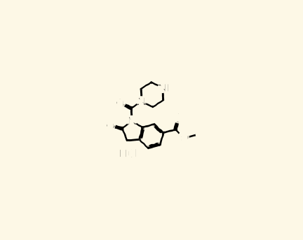 COC(=O)c1ccc2c(c1)N(C(=O)N1CCNCC1)C(=O)C2.Cl